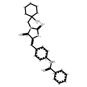 CC1(CN2C(=O)SC(=Cc3ccc(NC(=O)c4ccccc4)cc3)C2=O)CCCCC1